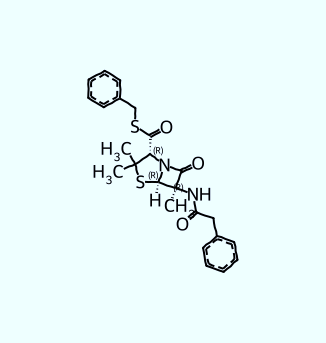 CC1(C)S[C@H]2N(C(=O)[C@@]2(C)NC(=O)Cc2ccccc2)[C@H]1C(=O)SCc1ccccc1